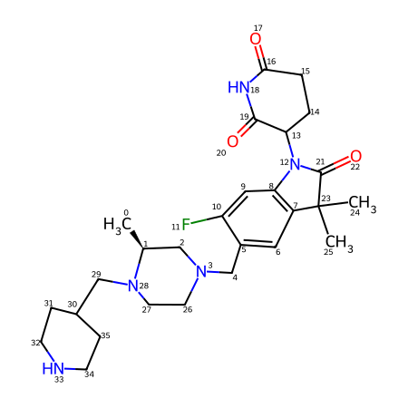 C[C@H]1CN(Cc2cc3c(cc2F)N(C2CCC(=O)NC2=O)C(=O)C3(C)C)CCN1CC1CCNCC1